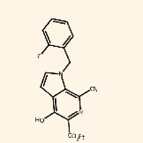 CCOC(=O)c1nc(C#N)c2c(ccn2Cc2ccccc2F)c1O